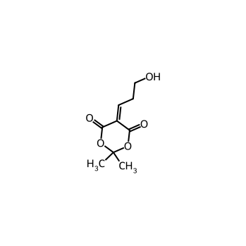 CC1(C)OC(=O)C(=CCCO)C(=O)O1